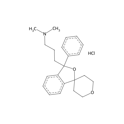 CN(C)CCCC1(c2ccccc2)OC2(CCOCC2)c2ccccc21.Cl